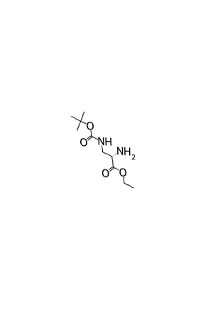 CCOC(=O)[C@@H](N)CNC(=O)OC(C)(C)C